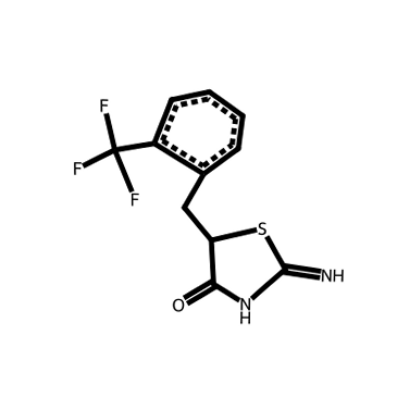 N=C1NC(=O)C(Cc2ccccc2C(F)(F)F)S1